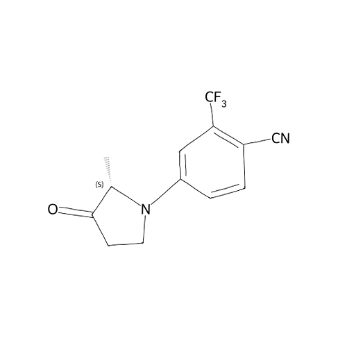 C[C@H]1C(=O)CCN1c1ccc(C#N)c(C(F)(F)F)c1